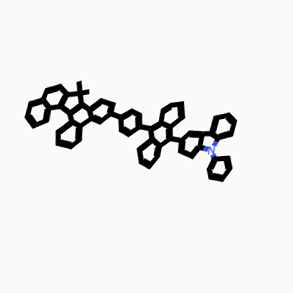 CC1(C)c2ccc3ccccc3c2-c2c1c1ccc(-c3ccc(-c4c5ccccc5c(-c5ccc6c(c5)c5ccccc5n6-c5ccccc5)c5ccccc45)cc3)cc1c1ccccc21